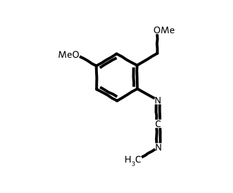 CN=C=Nc1ccc(OC)cc1COC